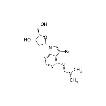 CN(C)C=Nc1ncnc2c1c(Br)cn2[C@@H]1C[C@H](O)[C@@H](CO)O1